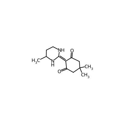 CC1CCNC(=C2C(=O)CC(C)(C)CC2=O)N1